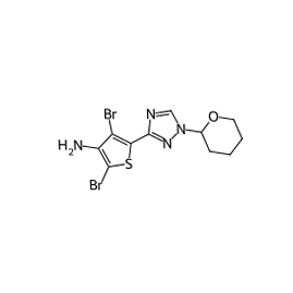 Nc1c(Br)sc(-c2ncn(C3CCCCO3)n2)c1Br